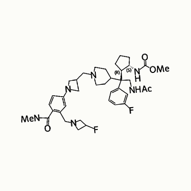 CNC(=O)c1ccc(N2CC(CN3CCC(C(CNC(C)=O)(c4cccc(F)c4)[C@H]4CCC[C@@H]4NC(=O)OC)CC3)C2)cc1CN1CC(F)C1